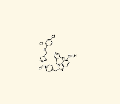 CCn1cncc1Cn1c(CN2CCN(C(=O)c3ccc(COc4ccc(Cl)cc4Cl)s3)CC2)nc2ccc(C(=O)O)cc21